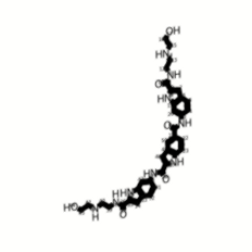 O=C(Nc1ccc2cc(C(=O)NCCNCCO)[nH]c2c1)c1ccc2[nH]c(C(=O)Nc3ccc4cc(C(=O)NCCNCCO)[nH]c4c3)cc2c1